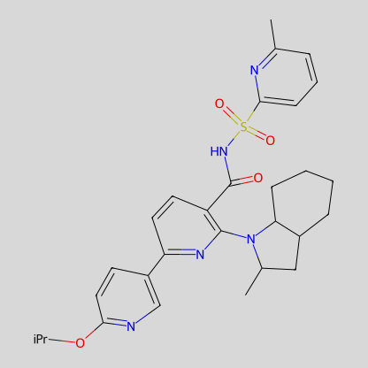 Cc1cccc(S(=O)(=O)NC(=O)c2ccc(-c3ccc(OC(C)C)nc3)nc2N2C(C)CC3CCCCC32)n1